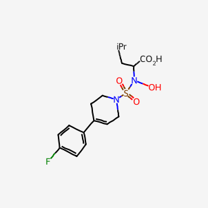 CC(C)CC(C(=O)O)N(O)S(=O)(=O)N1CC=C(c2ccc(F)cc2)CC1